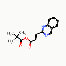 CC(C)(C)C(=O)OC(=O)/C=C/c1ncc2ccccc2n1